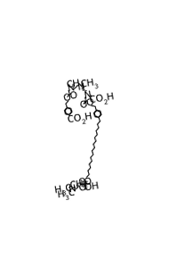 CN(CCN(C)CC(=O)OCCc1ccc(C(=O)O)cc1)CCN(CC(=O)O)CC(=O)OCCc1ccc(CCCCCCCCCCCCCCCCCCOP(=O)(O)OCC[N+](C)(C)C)cc1